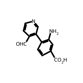 Nc1cc(C(=O)O)ccc1-c1cnccc1C=O